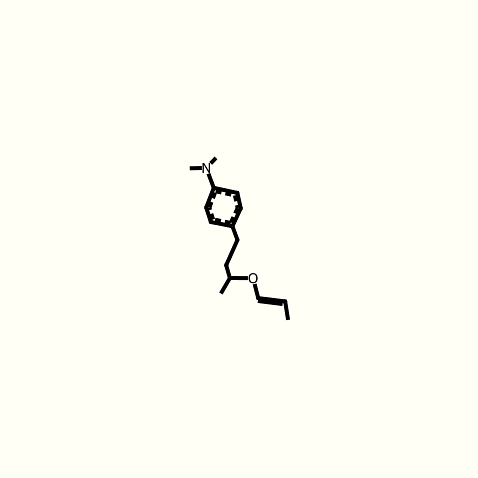 CC=COC(C)CCc1ccc(N(C)C)cc1